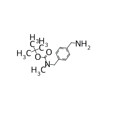 CN(Cc1ccc(CN)cc1)C(=O)OC(C)(C)C